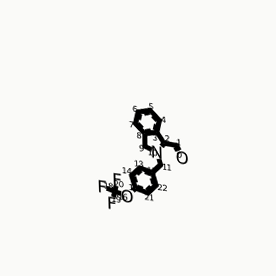 O=CC1c2ccccc2CN1Cc1ccc(OC(F)(F)F)cc1